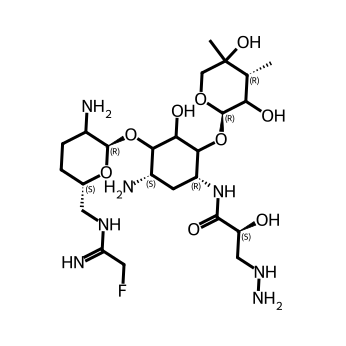 C[C@@H]1C(O)[C@@H](OC2C(O)C(O[C@H]3O[C@H](CNC(=N)CF)CCC3N)[C@@H](N)C[C@H]2NC(=O)[C@@H](O)CNN)OCC1(C)O